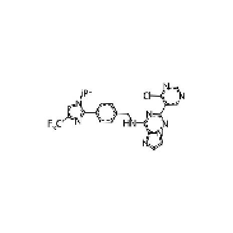 CC(C)n1cc(C(F)(F)F)nc1-c1ccc(CNc2nc(-c3cncnc3Cl)nn3ccnc23)cc1